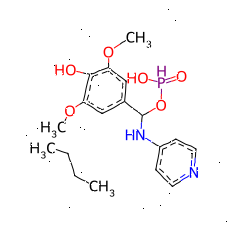 CCCC.COc1cc(C(Nc2ccncc2)O[PH](=O)O)cc(OC)c1O